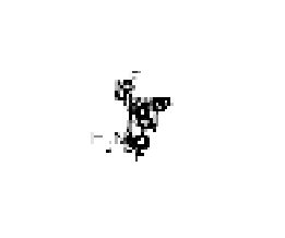 Cc1nc2c(N3CC4CCC(C3)N4)nc(OC[C@@]34CCCN3C[C@H](F)C4)nc2c(F)c1-c1ccc(F)c2oc(N)nc12